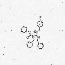 O=C(Oc1ccccc1)N1C(NCc2ccc(F)cc2)=NC(c2ccccc2)C1c1ccccc1